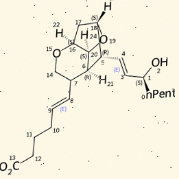 CCCCC[C@H](O)/C=C/[C@@H]1[C@H]2C(/C=C/CCCC(=O)O)CO[C@H]3C[C@@H]1O[C@@H]23